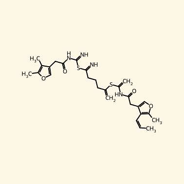 C=C(CCCC(=N)SC(=N)NC(=O)Cc1coc(C)c1C)SC(=C)NC(=O)Cc1coc(C)c1/C=C\C